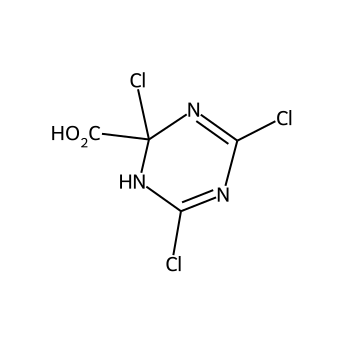 O=C(O)C1(Cl)N=C(Cl)N=C(Cl)N1